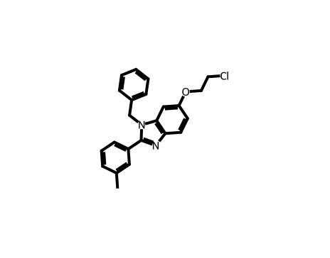 Cc1cccc(-c2nc3ccc(OCCCl)cc3n2Cc2ccccc2)c1